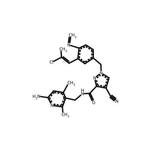 C=Nc1ccc(Cn2cc(C#N)c(C(=O)NCc3c(C)cc(N)nc3C)n2)cc1/C=C(\C)Cl